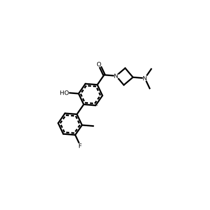 Cc1c(F)cccc1-c1[c]cc(C(=O)N2CC(N(C)C)C2)cc1O